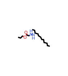 CCCCCCCCCC(CC)NNCC(=O)OCCC